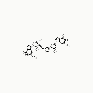 Nc1nc2c(ncn2[C@@H]2O[C@H](CO)[C@@H](OCc3cn([C@H]4O[C@@H](n5cnc6c(=O)[nH]c(N)nc65)C[C@@H]4O)nn3)[C@@H]2O)c(=O)[nH]1